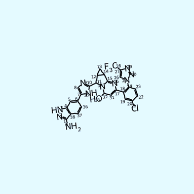 Nc1n[nH]c2cc(-c3cnc(C4C5CC5C5=NC(c6cc(Cl)ccc6-n6cc(C(F)(F)F)nn6)=CC(O)N54)[nH]3)ccc12